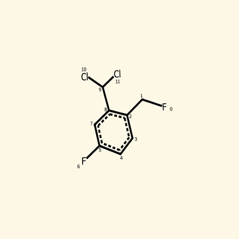 FCc1ccc(F)cc1C(Cl)Cl